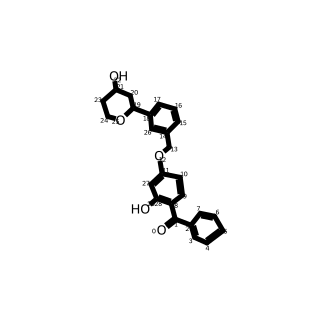 O=C(c1ccccc1)c1ccc(OCc2cccc(C3CC(O)CCO3)c2)cc1O